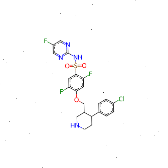 O=S(=O)(Nc1ncc(F)cn1)c1cc(F)c(OCC2CNCCC2c2ccc(Cl)cc2)cc1F